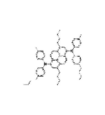 CCCCc1ccc(N(c2ccc(C)cc2)c2cc(CCCC)c3ccc4c(N(c5ccc(C)cc5)c5ccc(CCCC)cc5)cc(CCCC)c5ccc2c3c54)cc1